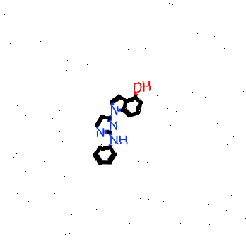 Oc1cccc2c1ccn2-c1ccnc(Nc2ccccc2)n1